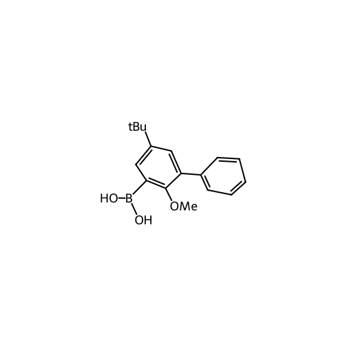 COc1c(B(O)O)cc(C(C)(C)C)cc1-c1ccccc1